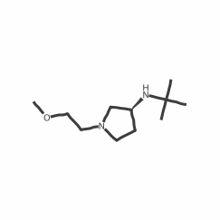 COCCN1CC[C@H](NC(C)(C)C)C1